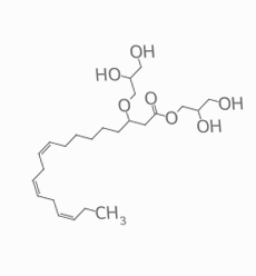 CC/C=C\C/C=C\C/C=C\CCCCCC(CC(=O)OCC(O)CO)OCC(O)CO